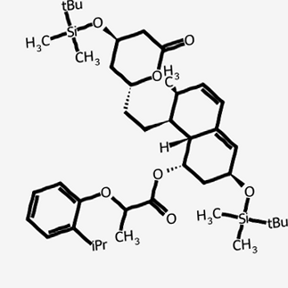 CC(Oc1ccccc1C(C)C)C(=O)O[C@H]1C[C@H](O[Si](C)(C)C(C)(C)C)C=C2C=C[C@H](C)[C@H](CC[C@@H]3C[C@@H](O[Si](C)(C)C(C)(C)C)CC(=O)O3)[C@H]21